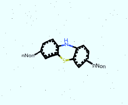 CCCCCCCCCc1ccc2c(c1)Sc1cc(CCCCCCCCC)ccc1N2